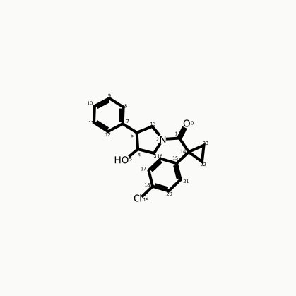 O=C(N1CC(O)C(c2ccccc2)C1)C1(c2ccc(Cl)cc2)CC1